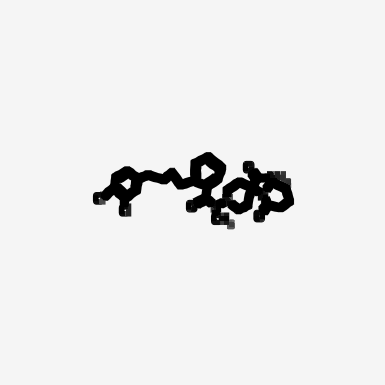 CN(C(=O)c1ccccc1CCCCc1ccc(Cl)c(Cl)c1)N1CCC(C(N)=O)(N2CCCCC2=O)CC1